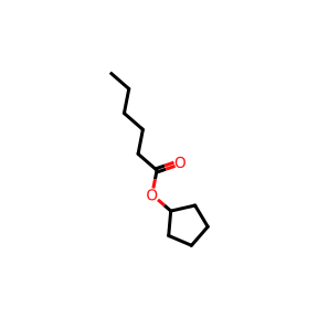 CCCCCC(=O)OC1CCCC1